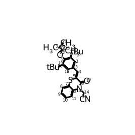 CC(C)(C)c1cc(/C=C2\Sc3ccccc3N(CC#N)C2=O)cc(C(C)(C)C)c1O[Si](C)(C)C